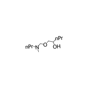 CCCC(O)COCN(C)CCC